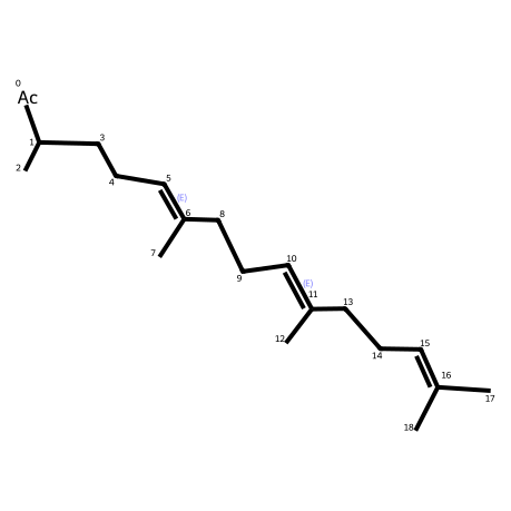 [CH2]C(=O)C(C)CC/C=C(\C)CC/C=C(\C)CCC=C(C)C